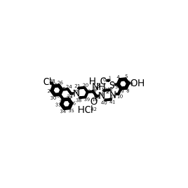 CCSc1ccc(O)cc1CN1CCN(C(=O)C(N)C2CCN(CCc3cc(Cl)ccc3-c3ccccc3)CC2)CC1.Cl